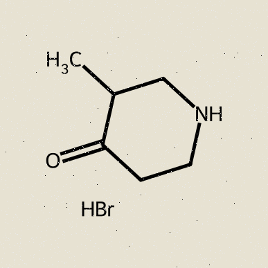 Br.CC1CNCCC1=O